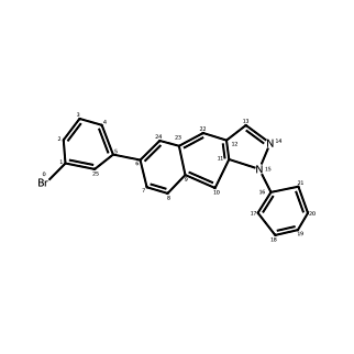 Brc1cccc(-c2ccc3cc4c(cnn4-c4ccccc4)cc3c2)c1